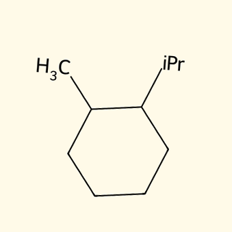 [CH2]C(C)C1CCCCC1C